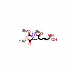 CC(C)(C)OC(=O)N[C@@H](C[C@H](C/C=C/B(O)O)C(=O)OC(C)(C)C)C(=O)OC(C)(C)C